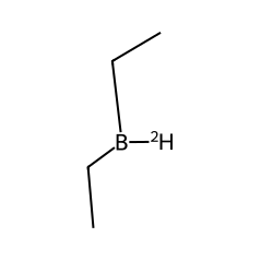 [2H]B(CC)CC